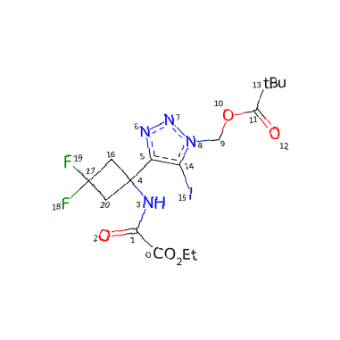 CCOC(=O)C(=O)NC1(c2nnn(COC(=O)C(C)(C)C)c2I)CC(F)(F)C1